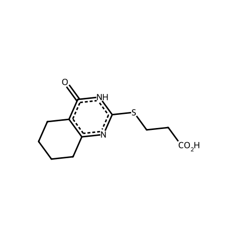 O=C(O)CCSc1nc2c(c(=O)[nH]1)CCCC2